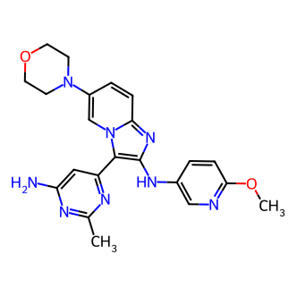 COc1ccc(Nc2nc3ccc(N4CCOCC4)cn3c2-c2cc(N)nc(C)n2)cn1